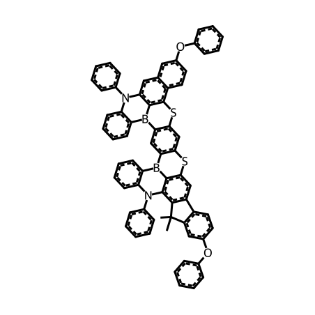 CC1(C)c2cc(Oc3ccccc3)ccc2-c2cc3c4c(c21)N(c1ccccc1)c1ccccc1B4c1cc2c(cc1S3)Sc1c3c(cc4cc(Oc5ccccc5)ccc14)N(c1ccccc1)c1ccccc1B23